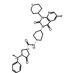 C[C@H](c1ccccc1)N1C[C@H](C(=O)N[C@H]2CC[C@@H](n3c(=O)c4cc(F)cnc4n(C4CCSCC4)c3=O)CC2)CC1=O